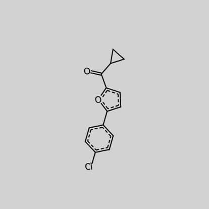 O=C(c1ccc(-c2ccc(Cl)cc2)o1)C1CC1